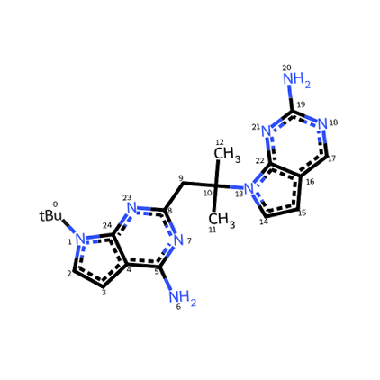 CC(C)(C)n1ccc2c(N)nc(CC(C)(C)n3ccc4cnc(N)nc43)nc21